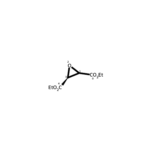 CCOC(=O)C1O[C@@H]1C(=O)OCC